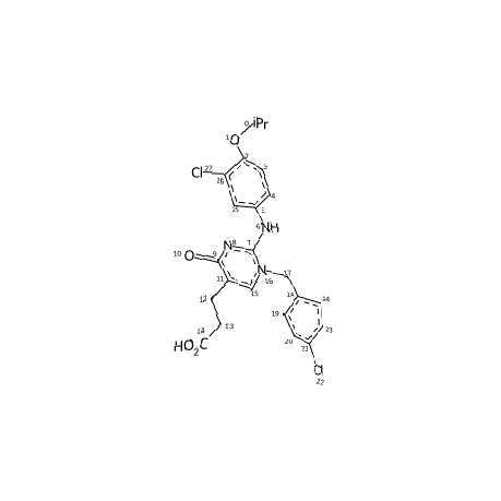 CC(C)Oc1ccc(Nc2nc(=O)c(CCC(=O)O)cn2Cc2ccc(Cl)cc2)cc1Cl